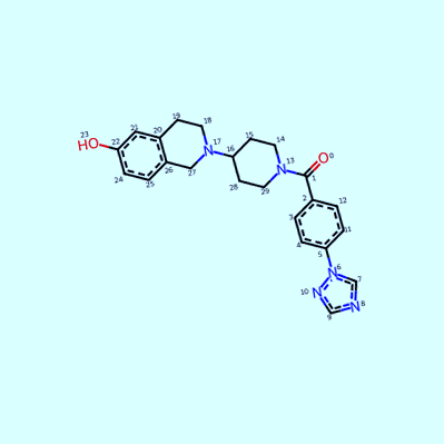 O=C(c1ccc(-n2cncn2)cc1)N1CCC(N2CCc3cc(O)ccc3C2)CC1